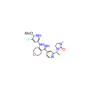 COC1NC=C(NC2=C(C(=N)c3ccnc([C@H](C)N4CCN(C)C4=O)c3)CCOCC2)C=C1F